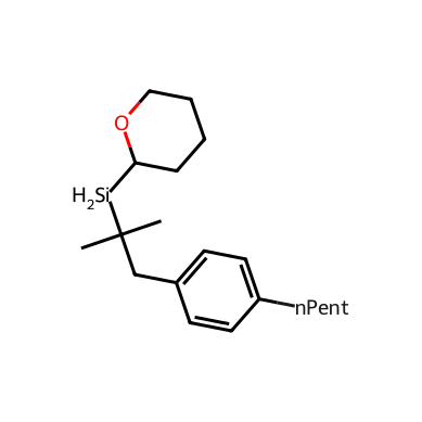 CCCCCc1ccc(CC(C)(C)[SiH2]C2CCCCO2)cc1